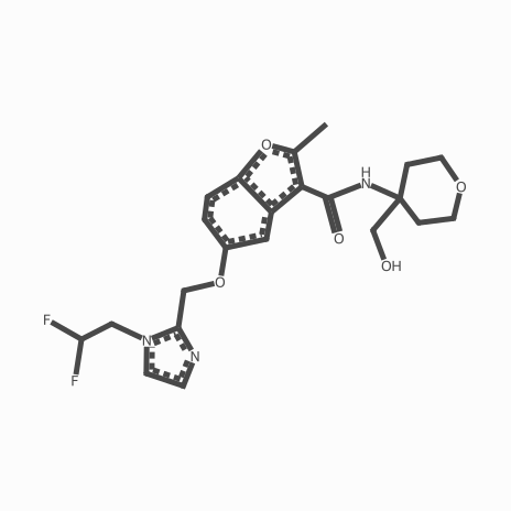 Cc1oc2ccc(OCc3nccn3CC(F)F)cc2c1C(=O)NC1(CO)CCOCC1